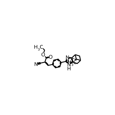 CCOC(=O)C(C#N)=Cc1ccc(-c2nc3c([nH]2)CC2CC3C2(C)C)cc1